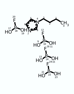 CCCCn1ccnc1.OB(O)F.OB(O)F.OB(O)F.OB(O)F